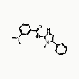 CN(C)c1cccc(C(=O)NC2NC=C(c3ccccc3)N2C)c1